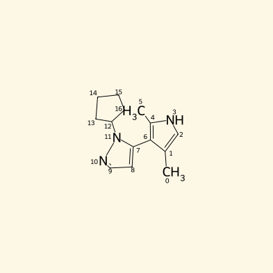 Cc1c[nH]c(C)c1-c1ccnn1C1CCCC1